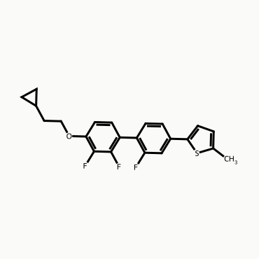 Cc1ccc(-c2ccc(-c3ccc(OCCC4CC4)c(F)c3F)c(F)c2)s1